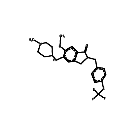 COc1cc2c(cc1NC1CCN(C)CC1)CC(Cc1ccc(SC(F)(F)F)cc1)C2=O